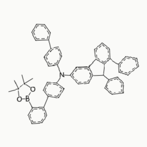 CC1(C)OB(c2ccccc2-c2ccc(N(c3ccc(-c4ccccc4)cc3)c3ccc4c(c3)-c3cccc(-c5ccccc5)c3C4c3ccccc3)cc2)OC1(C)C